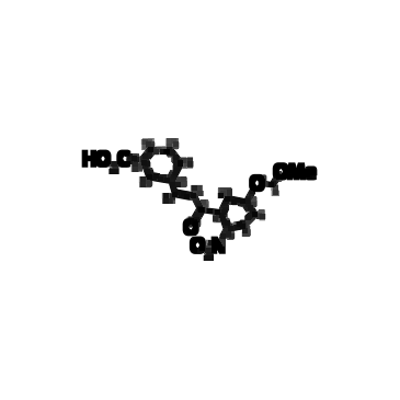 COCOc1ccc([N+](=O)[O-])c(C(=O)C=Cc2cccc(C(=O)O)c2)c1